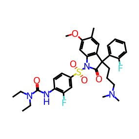 CCN(CC)C(=O)Nc1ccc(S(=O)(=O)N2C(=O)C(CCCN(C)C)(c3ccccc3F)c3cc(C)c(OC)cc32)cc1F